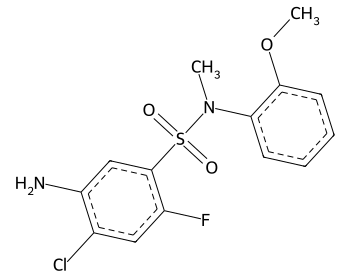 COc1ccccc1N(C)S(=O)(=O)c1cc(N)c(Cl)cc1F